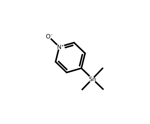 [CH3][Sn]([CH3])([CH3])[c]1cc[n+]([O-])cc1